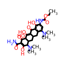 CCOC(=O)Nc1cc(N(C)C)c2c(c1O)C(=O)C1=C(O)C3(O)C(=O)C(C(N)=O)=C(O)C(N(C)C)C3CC1C2